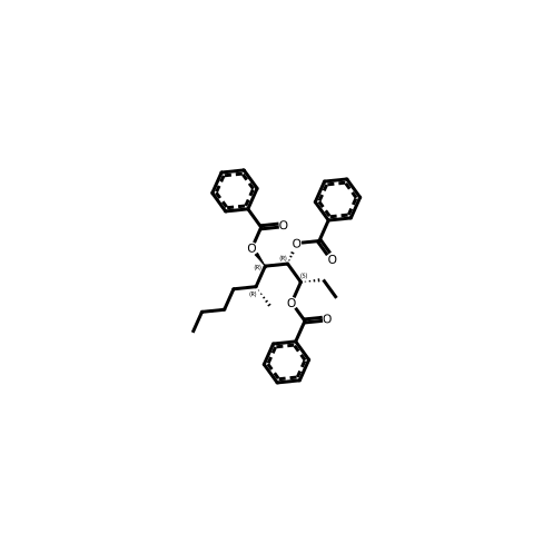 CCCC[C@@H](C)[C@@H](OC(=O)c1ccccc1)[C@H](OC(=O)c1ccccc1)[C@H](CC)OC(=O)c1ccccc1